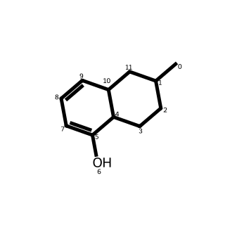 CC1CCC2C(O)=CC=CC2C1